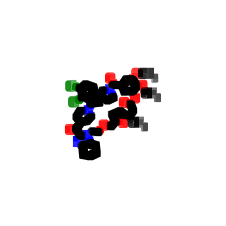 CCCC(=O)Oc1cc(C(=O)N2CCC(CCN3CCC(C(=O)c4nc5ccccc5n4CCOCc4ccco4)CC3)(c3ccc(Cl)c(Cl)c3)C2)cc(OC)c1OC